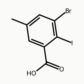 Cc1cc(Br)c(I)c(C(=O)O)c1